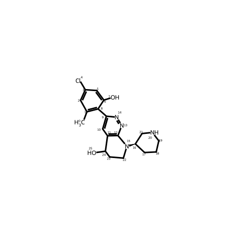 Cc1cc(Cl)cc(O)c1-c1cc2c(nn1)N([C@@H]1CCCNC1)CCC2O